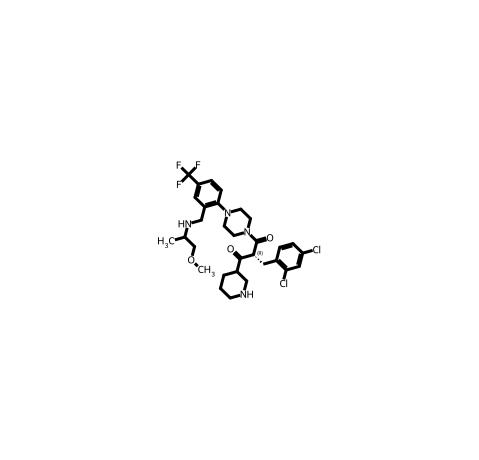 COCC(C)NCc1cc(C(F)(F)F)ccc1N1CCN(C(=O)[C@H](Cc2ccc(Cl)cc2Cl)C(=O)C2CCCNC2)CC1